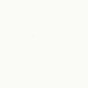 C/C=C1\CC(CC)C2C3CCC4CC(C)CCC4C3CCC12C